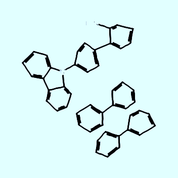 Nc1ccccc1-c1ccc(-n2c3ccccc3c3ccccc32)cc1.c1ccc(-c2ccccc2)cc1.c1ccc(-c2ccccc2)cc1